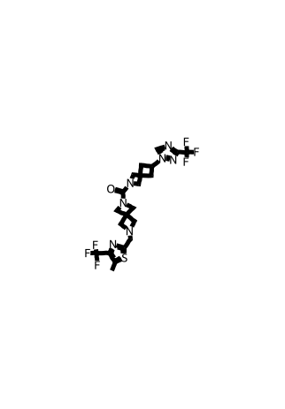 Cc1sc(CN2CC3(C2)CN(C(=O)N2CC4(CC(n5cnc(C(F)(F)F)n5)C4)C2)C3)nc1C(F)(F)F